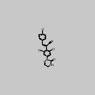 N#C/C(=C\c1ccc(Cl)cc1)c1c(Cl)cc(N2N=CCNC2=O)cc1Cl